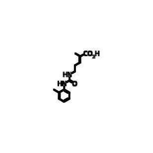 CC(=CCCNC(=O)Nc1ccccc1C)C(=O)O